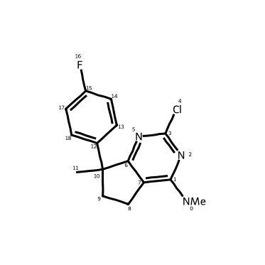 CNc1nc(Cl)nc2c1CCC2(C)c1ccc(F)cc1